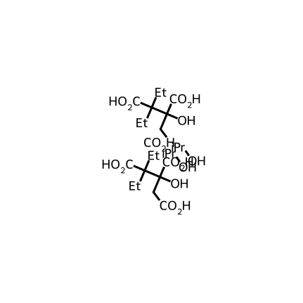 CC(C)O.CC(C)O.CCC(CC)(C(=O)O)C(O)(CC(=O)O)C(=O)O.CCC(CC)(C(=O)O)C(O)(CC(=O)O)C(=O)O